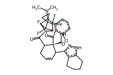 CN(C)C1CN(C(=O)C2CC=CC(c3n[nH]c4c3CCCC4)[C@@]2(C(=O)O)C(=O)c2c(Cl)cccc2C2(C(F)(F)F)CC2)CC1(F)F